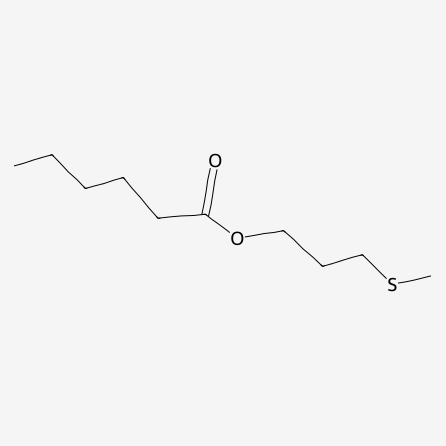 CCCCCC(=O)OCCCSC